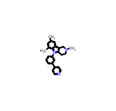 Cc1cc(C)c2c(c1)c1c(n2-c2cccc(-c3ccncc3)c2)CCN(C)C1